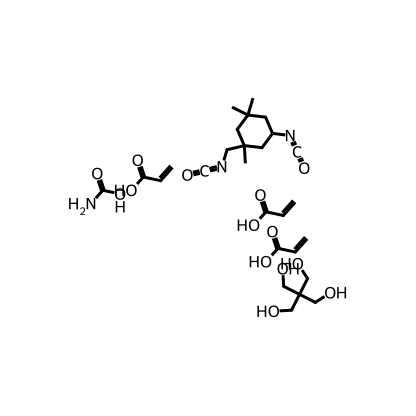 C=CC(=O)O.C=CC(=O)O.C=CC(=O)O.CC1(C)CC(N=C=O)CC(C)(CN=C=O)C1.NC(=O)O.OCC(CO)(CO)CO